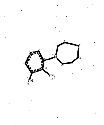 N#Cc1cccc(N2CCCCCC2)c1C(F)(F)F